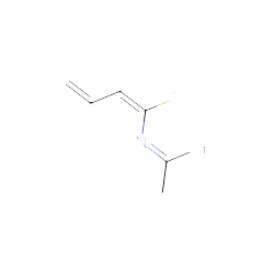 C=C/C=C(F)\N=C(\C)CC